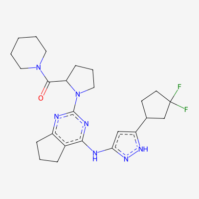 O=C(C1CCCN1c1nc2c(c(Nc3cc(C4CCC(F)(F)C4)[nH]n3)n1)CCC2)N1CCCCC1